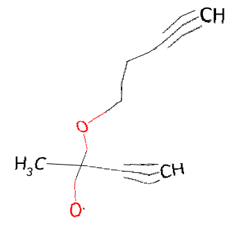 C#CCCOC(C)([O])C#C